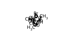 CCOC(=O)CNCC(=O)OCC.ClC(Cl)(Cl)c1nc(-c2cccc(Br)c2)nc(C(Cl)(Cl)Cl)n1